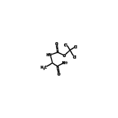 CC(NC(=O)OC(Cl)(Cl)Cl)C([NH])=O